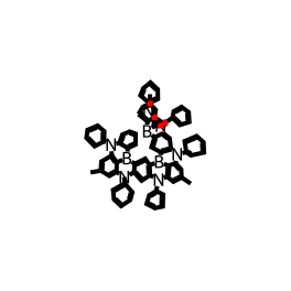 Cc1cc2c3c(c1)N(c1ccccc1)c1cc4c(cc1B3c1ccccc1N2c1ccccc1)B1c2cc3c(cc2N(c2ccccc2)c2cc(C)cc(c21)N4c1ccccc1)N(c1ccccc1)c1cc(C)cc2c1B3c1ccccc1N2c1ccccc1